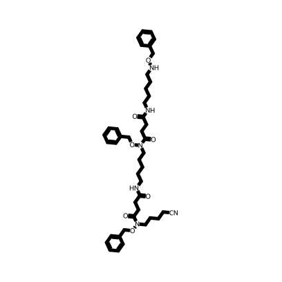 N#CCCCCN(OCc1ccccc1)C(=O)CCC(=O)NCCCCCN(OCc1ccccc1)C(=O)CCC(=O)NCCCCCNOCc1ccccc1